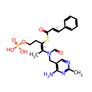 C/C(=C(\CCOP(=O)(O)O)SC(=O)/C=C/c1ccccc1)N(C=O)Cc1cnc(C)nc1N